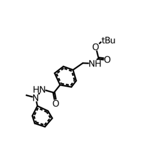 CN(NC(=O)c1ccc(CNC(=O)OC(C)(C)C)cc1)c1ccccc1